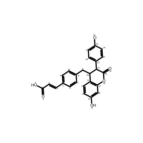 O=C(O)/C=C/c1ccc(CC2c3ccc(O)cc3OC(=O)C2c2ccc(Cl)cc2)cc1